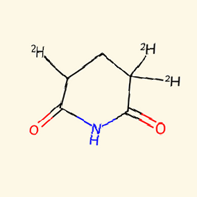 [2H]C1CC([2H])([2H])C(=O)NC1=O